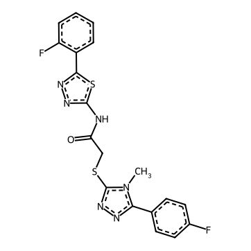 Cn1c(SCC(=O)Nc2nnc(-c3ccccc3F)s2)nnc1-c1ccc(F)cc1